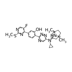 CSc1ncc(F)c(-c2ccc(-c3ncc(N(C4CC4)[C@H]4C[C@]5(C)CC[C@](C)(C4)N5)nn3)c(O)c2)n1